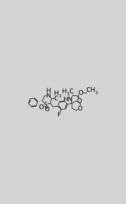 CCOC(=O)[C@@H](C)NC1(c2ccc(CC3[C@H](C)NC[C@@H](c4ccccc4)S3(=O)=O)c(F)c2)CCOCC1